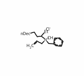 C=CC[N+](C)(Cc1ccccc1)C(CC)CCCCCCCCCCCC.[Cl-]